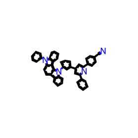 N#Cc1ccc(-c2cc(-c3cccc(-n4c5ccccc5c5ccc6c(c7ccccc7n6-c6ccccc6)c54)c3)cc(-c3ccccc3)n2)cc1